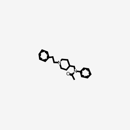 CC(=O)N(CC1CCN(CCc2ccccc2)CC1)c1ccccc1